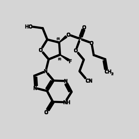 C=CCOP(=O)(OCCC#N)O[C@@H]1C(CO)OC(n2cnc3c(=O)[nH]cnc32)[C@@H]1F